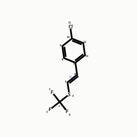 FC(F)(F)S/C=C/c1ccc(Cl)cc1